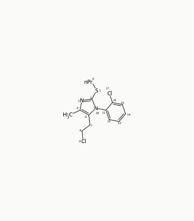 CCCSc1nc(C)c(CCCl)n1-c1ccccc1Cl